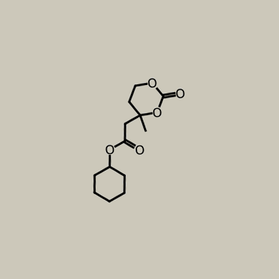 CC1(CC(=O)OC2CCCCC2)CCOC(=O)O1